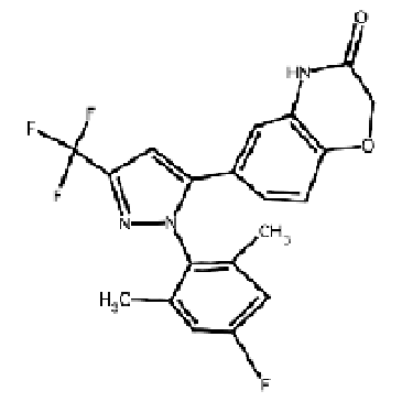 Cc1cc(F)cc(C)c1-n1nc(C(F)(F)F)cc1-c1ccc2c(c1)NC(=O)CO2